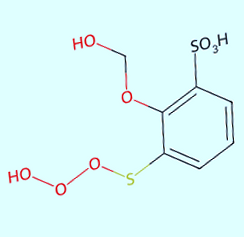 O=S(=O)(O)c1cccc(SOOO)c1OCO